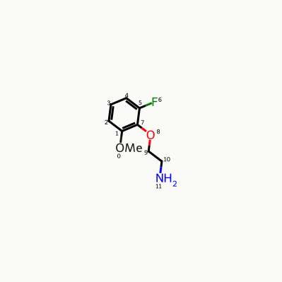 COc1cccc(F)c1OCCN